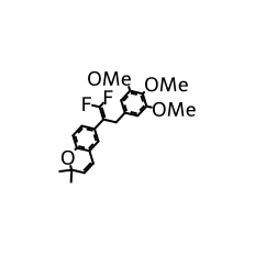 COc1cc(CC(=C(F)F)c2ccc3c(c2)C=CC(C)(C)O3)cc(OC)c1OC